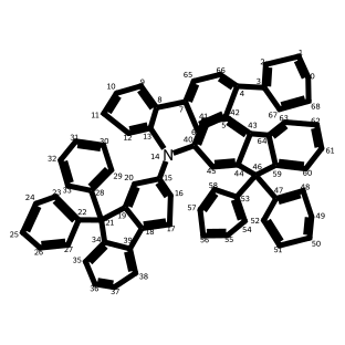 c1ccc(-c2ccc(-c3ccccc3N(c3ccc4c(c3)C(c3ccccc3)(c3ccccc3)c3ccccc3-4)c3ccc4c(c3)C(c3ccccc3)(c3ccccc3)c3ccccc3-4)cc2)cc1